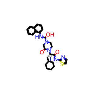 O=C(Nc1nccs1)[C@H](CC1CCCCC1)N1CCN(C(O)Nc2cccc3ccccc23)CC1=O